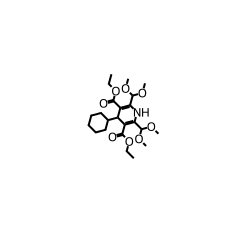 CCOC(=O)C1=C(C(OC)OC)NC(C(OC)OC)=C(C(=O)OCC)C1C1CCCCC1